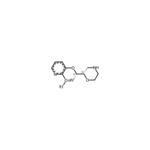 CCC[C@H](Oc1cccnc1OCC)[C@@H]1CNCCO1